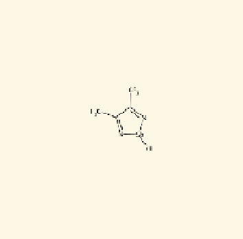 FC(F)(F)C1=[N][Sb]([Cl])[N]=C1C(F)(F)F